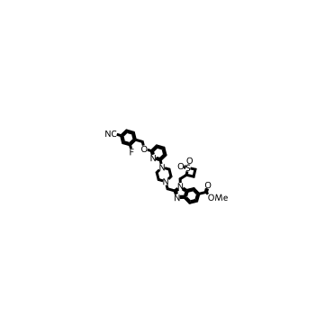 COC(=O)c1ccc2nc(CN3CCN(c4cccc(OCc5ccc(C#N)cc5F)n4)CC3)n(CC3CCS3(=O)=O)c2c1